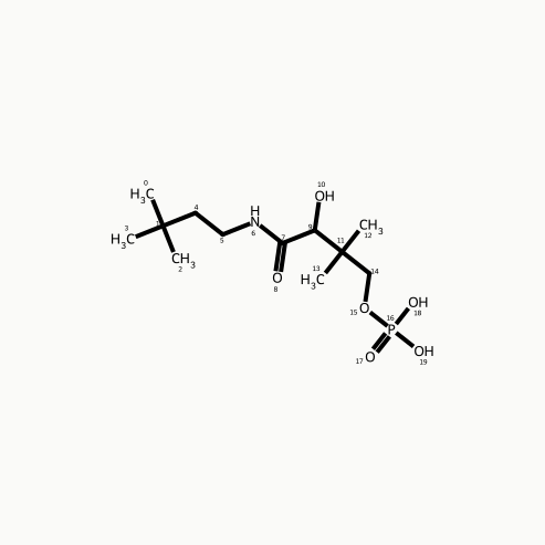 CC(C)(C)CCNC(=O)C(O)C(C)(C)COP(=O)(O)O